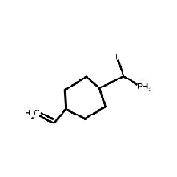 C=CC1CCC(C(P)I)CC1